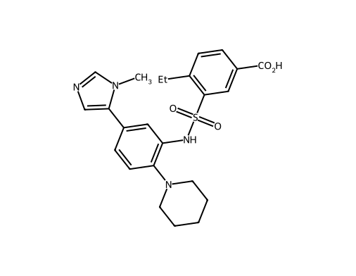 CCc1ccc(C(=O)O)cc1S(=O)(=O)Nc1cc(-c2cncn2C)ccc1N1CCCCC1